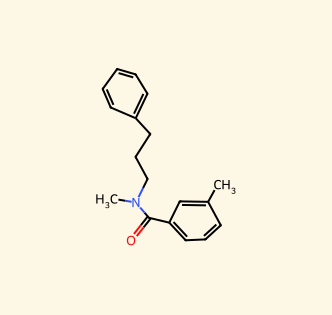 Cc1cccc(C(=O)N(C)CCCc2ccccc2)c1